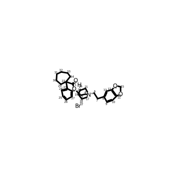 O=C(O[C@H]1C[N+]2(CCc3ccc4c(c3)OCO4)CCC1CC2)C1(c2ccccc2)CCCCCC1.[Br-]